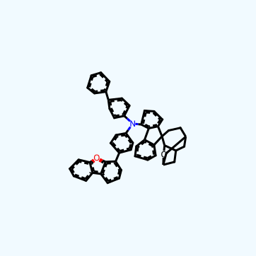 c1ccc(-c2ccc(N(c3ccc(-c4cccc5c4oc4ccccc45)cc3)c3cccc4c3-c3ccccc3C43CCC4CC5CC(C4)C3C5)cc2)cc1